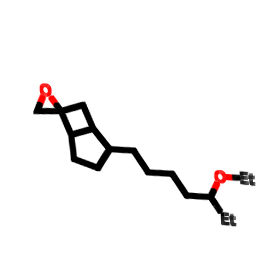 CCOC(CC)CCCCC1CCC2C1CC21CO1